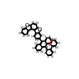 C1=CCC(c2c3ccccc3c(-c3ccc4c(c3)oc3ccc5oc6ccccc6c5c34)c3ccccc23)C(c2ccccc2)=C1